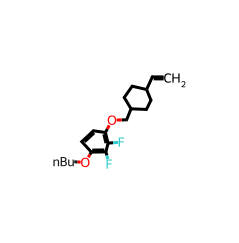 C=CC1CCC(COc2ccc(OCCCC)c(F)c2F)CC1